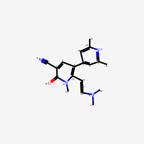 Cc1cc(-c2cc(C#N)c(=O)n(C)c2/C=C/N(C)C)cc(C)n1